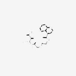 CC(C)[C@H](NC(=O)[C@H](C)NC(=O)[C@@H](NC(=O)c1ccnc2ccccc12)C(C)(C)C)C(=O)C(N)=O